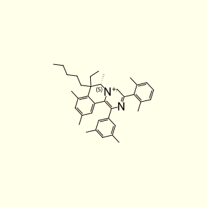 CCCCCC1(CC)c2c(C)cc(C)cc2-c2c(-c3cc(C)cc(C)c3)nc(-c3c(C)cccc3C)c[n+]2[C@H]1C